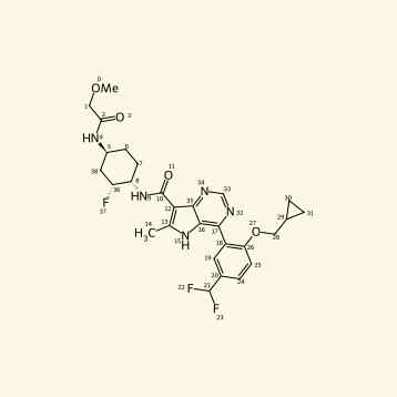 COCC(=O)N[C@H]1CC[C@H](NC(=O)c2c(C)[nH]c3c(-c4cc(C(F)F)ccc4OCC4CC4)ncnc23)[C@H](F)C1